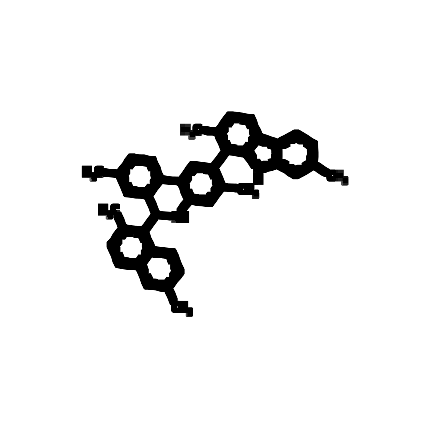 Cc1ccc2c(c1)C(c1c(C)ccc3cc(C)ccc13)Nc1cc(C)c(-c3c(C)ccc4c3[nH]c3cc(C)ccc34)cc1-2